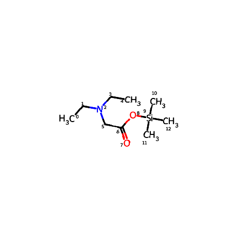 CCN(CC)CC(=O)O[Si](C)(C)C